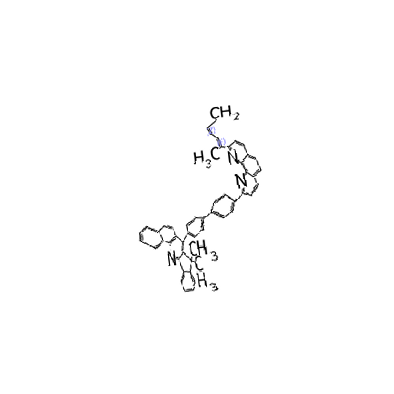 C=C/C=C\C=C(/C)c1ccc2ccc3ccc(-c4ccc(-c5ccc(-c6c7c(nc8c6ccc6ccccc68)-c6ccccc6C7(C)C)cc5)cc4)nc3c2n1